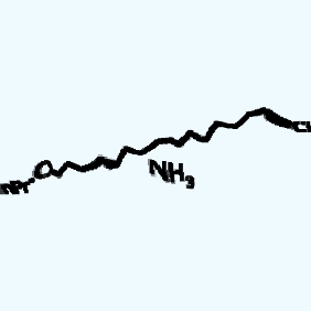 C#CCCCCCCCCCCCCCCOCC[CH2].N